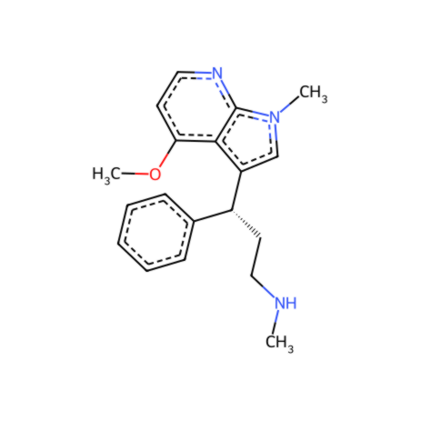 CNCC[C@H](c1ccccc1)c1cn(C)c2nccc(OC)c12